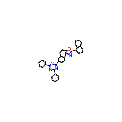 c1ccc(-c2nc(-c3ccccc3)nc(-c3ccc4c(ccc5oc(-c6cccc7ccccc67)nc54)c3)n2)cc1